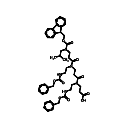 CC(C)CN(CCC(=O)N(CCNC(=O)OCc1ccccc1)CCC(=O)N(CCNC(=O)OCc1ccccc1)CCC(=O)O)C(=O)OCC1c2ccccc2-c2ccccc21